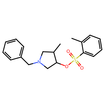 Cc1ccccc1S(=O)(=O)OC1CN(Cc2ccccc2)CC1C